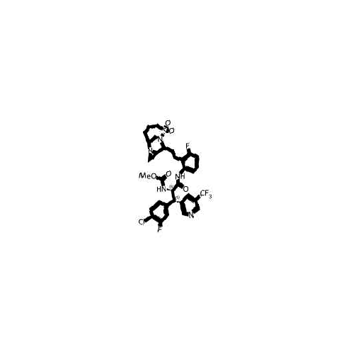 COC(=O)N[C@H](C(=O)Nc1cccc(F)c1CCC1C2CN2C2CCCS(=O)(=O)N1C2)[C@H](c1cncc(C(F)(F)F)c1)c1ccc(Cl)c(F)c1